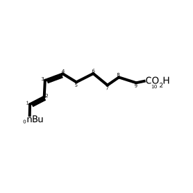 CCCC/C=C/C=C\CCCCCC(=O)O